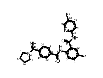 Cc1ccc(NC(=O)c2ccc(C(=N)N3CCCC3)cc2)c(C(=O)Nc2ccc(I)cn2)c1